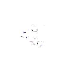 Nc1cccc(Nc2nccc(Oc3ccc4[nH]ncc4c3)n2)c1